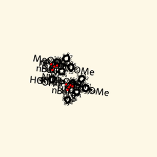 CCCCN(c1c(C(c2ccccc2)(c2ccc(OC)cc2)c2ccc(OC)cc2)ccc2c1N(N(CCCC)C(O)CCC)c1ccccc1S2)C(O)CCC.CCCCN(c1c(C(c2ccccc2)(c2ccc(OC)cc2)c2ccc(OC)cc2)ccc2c1N(N(CCCC)C(O)CCC)c1ccccc1S2)C(O)CCC.NP(O)O